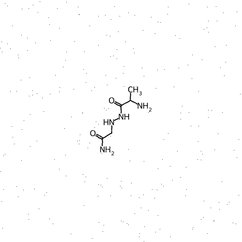 CC(N)C(=O)NNCC(N)=O